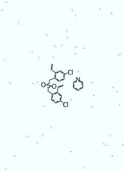 C=Cc1cc(Cl)ccc1CS(=O)(=O)Cc1ccc(Cl)cc1C=C.c1ccncc1